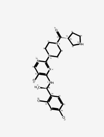 C[C@@H](Nc1nc(N2CCN(C(=O)[C@@H]3CCNC3)CC2)ncc1Cl)c1ccc(Cl)cc1Cl